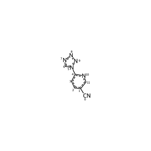 N#Cc1ccc(-n2cnnn2)nc1